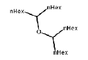 CCCCCCC(CCCCCC)OC(CCCCCC)CCCCCC